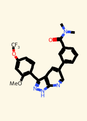 COc1cc(OC(F)(F)F)ccc1-c1n[nH]c2ncc(-c3cccc(C(=O)N(C)C)c3)cc12